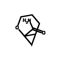 NC(=O)C12[CH]C1CCCO2